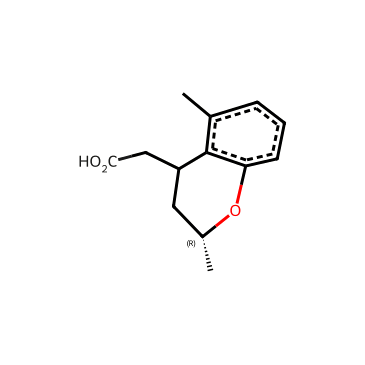 Cc1cccc2c1C(CC(=O)O)C[C@@H](C)O2